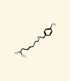 Cc1ccc(CNCCCCCCC(C)C)cc1